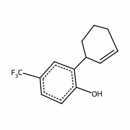 Oc1ccc(C(F)(F)F)cc1C1C=CCCC1